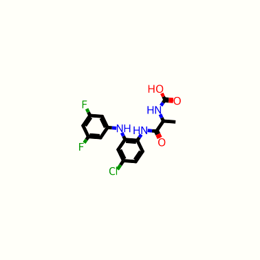 CC(NC(=O)O)C(=O)Nc1ccc(Cl)cc1Nc1cc(F)cc(F)c1